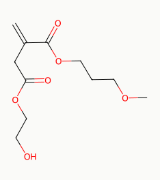 C=C(CC(=O)OCCO)C(=O)OCCCOC